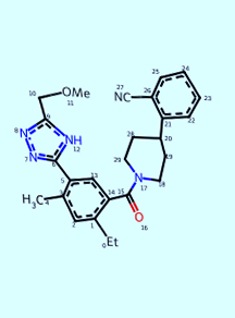 CCc1cc(C)c(-c2nnc(COC)[nH]2)cc1C(=O)N1CCC(c2ccccc2C#N)CC1